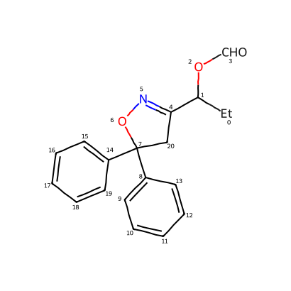 CCC(OC=O)C1=NOC(c2ccccc2)(c2ccccc2)C1